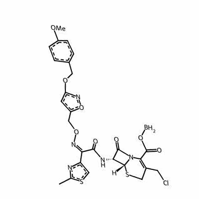 BOC(=O)C1=C(CCl)CS[C@@H]2[C@H](NC(=O)/C(=N\OCc3cc(OCc4ccc(OC)cc4)no3)c3csc(C)n3)C(=O)N12